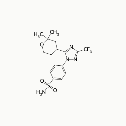 CC1(C)CC(c2nc(C(F)(F)F)nn2-c2ccc(S(N)(=O)=O)cc2)CCO1